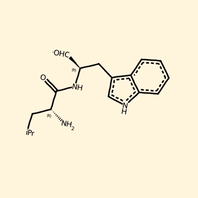 CC(C)C[C@@H](N)C(=O)N[C@@H]([C]=O)Cc1c[nH]c2ccccc12